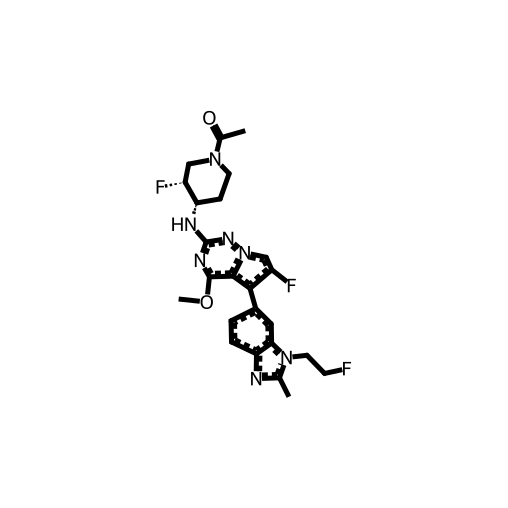 COc1nc(N[C@H]2CCN(C(C)=O)C[C@H]2F)nn2cc(F)c(-c3ccc4nc(C)n(CCF)c4c3)c12